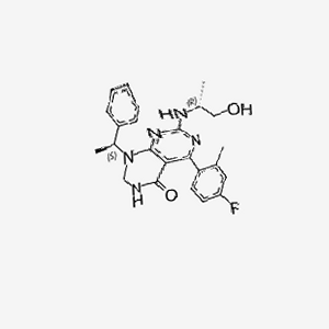 Cc1cc(F)ccc1-c1nc(N[C@H](C)CO)nc2c1C(=O)NCN2[C@@H](C)c1ccccc1